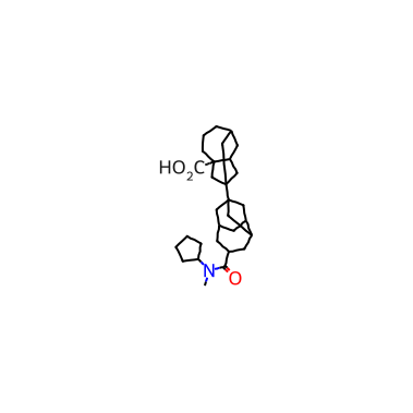 CN(C(=O)C1CC2CC3CC(C45CC6CCCC(C(=O)O)(C4)C(C6)C5)(C2)CC3C1)C1CCCC1